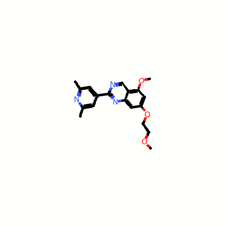 COCCOc1cc(OC)c2cnc(-c3cc(C)nc(C)c3)nc2c1